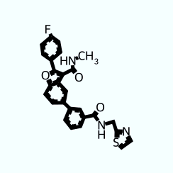 CNC(=O)c1c(-c2ccc(F)cc2)oc2ccc(-c3cccc(C(=O)NCc4nccs4)c3)cc12